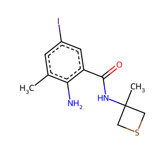 Cc1cc(I)cc(C(=O)NC2(C)CSC2)c1N